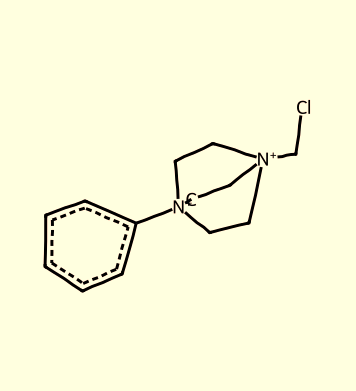 ClC[N+]12CC[N+](c3ccccc3)(CC1)CC2